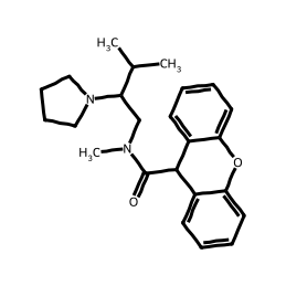 CC(C)C(CN(C)C(=O)C1c2ccccc2Oc2ccccc21)N1CCCC1